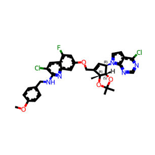 COc1ccc(CNc2nc3cc(OCC4=C[C@@H](n5ccc6c(Cl)ncnc65)[C@@H]5OC(C)(C)O[C@]45C)cc(F)c3cc2Cl)cc1